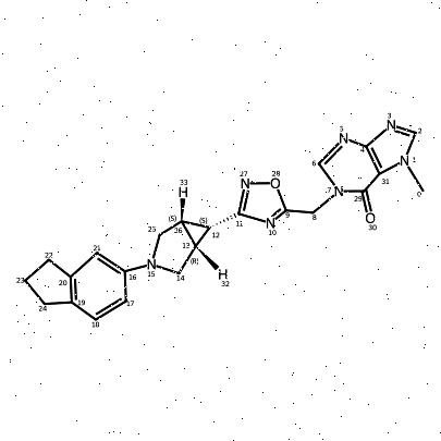 Cn1cnc2ncn(Cc3nc([C@@H]4[C@@H]5CN(c6ccc7c(c6)CCC7)C[C@@H]54)no3)c(=O)c21